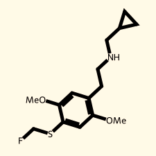 COc1cc(SCF)c(OC)cc1CCNCC1CC1